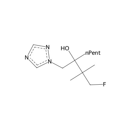 CCCCCC(O)(Cn1cncn1)C(C)(C)CF